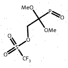 COC(COS(=O)(=O)C(F)(F)F)(OC)P=O